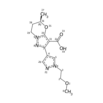 COCCn1cc(-c2nn3c(c2C(=O)O)O[C@H](C)CC3)cn1